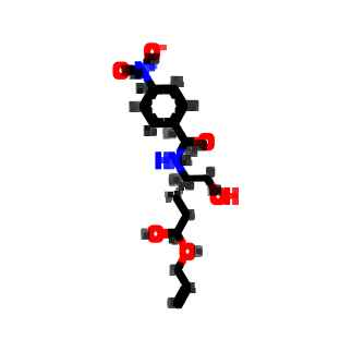 C=CCOC(=O)CC[C@@H](CO)NC(=O)c1ccc([N+](=O)[O-])cc1